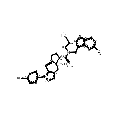 C[C@]12Cc3cnn(-c4ccc(F)cc4)c3C=C1CC[C@@H]2C(=O)N(CCO)Cc1csc2ccc(Cl)cc12